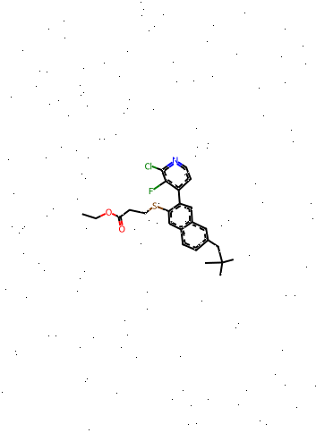 CCOC(=O)CCSc1cc2ccc(CC(C)(C)C)cc2cc1-c1ccnc(Cl)c1F